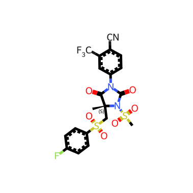 C[C@@]1(CS(=O)(=O)c2ccc(F)cc2)C(=O)N(c2ccc(C#N)c(C(F)(F)F)c2)C(=O)N1S(C)(=O)=O